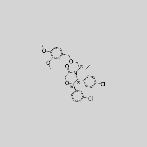 CC[C@@H](COCc1ccc(OC)c(OC)c1)N1C(=O)CO[C@H](c2cccc(Cl)c2)[C@H]1c1ccc(Cl)cc1